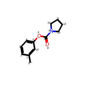 [CH2]c1cccc(OC(=O)N2CCCC2)c1